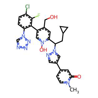 Cn1ccc(-c2cnn(C(CC3CC3)c3cc(CO)c(-c4c(-n5cnnn5)ccc(Cl)c4F)c[n+]3O)c2)cc1=O